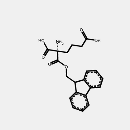 N[C@@](CCCC(=O)O)(C(=O)O)C(=O)OCC1c2ccccc2-c2ccccc21